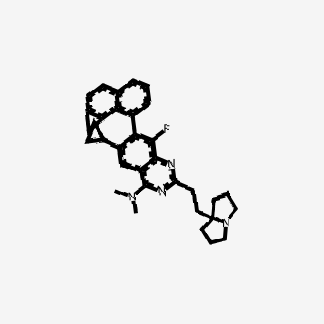 CN(C)c1nc(CCC23CCCN2CCC3)nc2c(F)c(-c3cccc4ccc5c(c34)C5)c(C3CC3)cc12